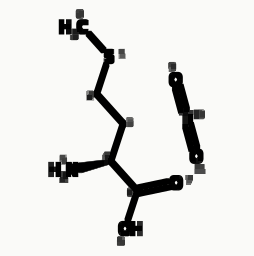 CSCC[C@H](N)C(=O)O.[O]=[Ti]=[O]